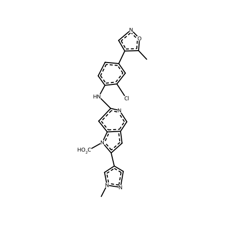 Cc1oncc1-c1ccc(Nc2cc3c(cn2)cc(-c2cnn(C)c2)n3C(=O)O)c(Cl)c1